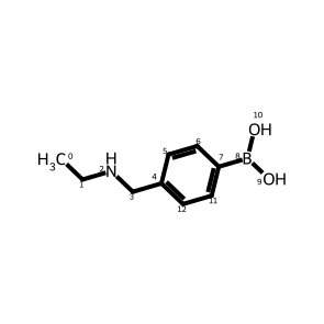 CCNCc1ccc(B(O)O)cc1